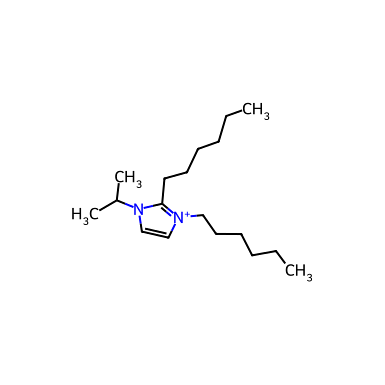 CCCCCCc1n(C(C)C)cc[n+]1CCCCCC